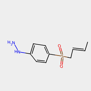 C/C=C/CS(=O)(=O)c1ccc(NN)cc1